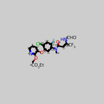 CCOC(=O)COc1ncccc1Oc1cc(N(C)C(=O)/C=C(\NC=O)C(F)(F)F)c(F)cc1Cl